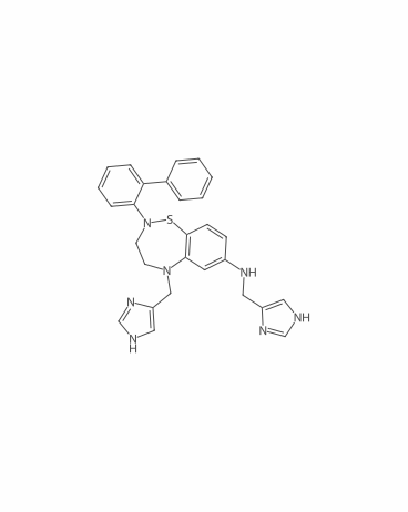 c1ccc(-c2ccccc2N2CCN(Cc3c[nH]cn3)c3cc(NCc4c[nH]cn4)ccc3S2)cc1